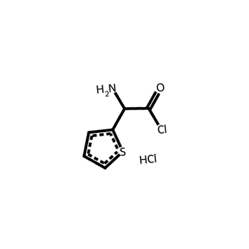 Cl.NC(C(=O)Cl)c1cccs1